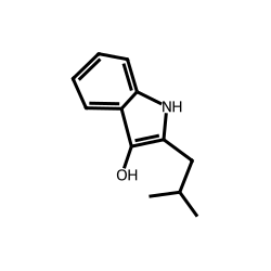 CC(C)Cc1[nH]c2ccccc2c1O